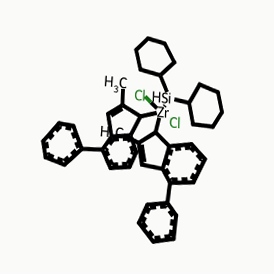 CC1=Cc2c(-c3ccccc3)cccc2[CH]1[Zr]([Cl])([Cl])([CH]1C(C)=Cc2c(-c3ccccc3)cccc21)[SiH](C1CCCCC1)C1CCCCC1